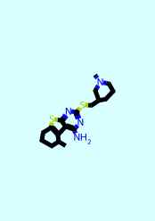 CC1CCCc2sc3nc(SCC4CCCN(C)C4)nc(N)c3c21